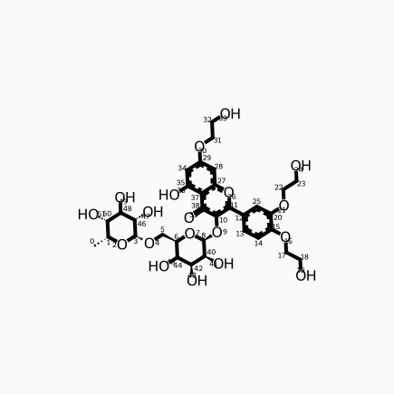 C[C@H]1O[C@@H](OC[C@H]2O[C@@H](Oc3c(-c4ccc(OCCO)c(OCCO)c4)oc4cc(OCCO)cc(O)c4c3=O)[C@@H](O)[C@@H](O)C2O)[C@@H](O)C(O)[C@H]1O